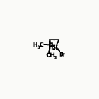 C[Si]1(C)CC[SiH]1Br